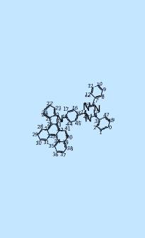 c1ccc(-c2nc(-c3ccccc3)nc(-c3ccc(-n4c5ccccc5c5c6ccccc6c6c7ccccc7ccc6c54)cc3)n2)cc1